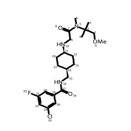 COCC(C)(C)N(C)C(=O)CN[C@H]1CC[C@@H](CNC(=O)c2cc(F)cc(Cl)c2)CC1